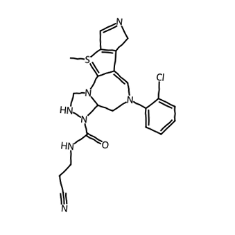 CS1=C2C(=CN(c3ccccc3Cl)CC3N2CNN3C(=O)NCCC#N)C2=C1C=NC2